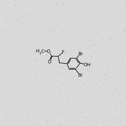 COC(=O)C(F)Cc1cc(Br)c(O)c(Br)c1